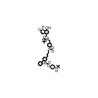 CC(C)(C)N[C@H]1CC[C@H](OC(=O)Nc2cc(/C=C/CCn3c(=O)oc4cc(CNC[C@H](O[Si](C)(C)C(C)(C)C)c5ccc(O)c6[nH]c(=O)ccc56)ccc43)ccc2-c2ccccc2)CC1